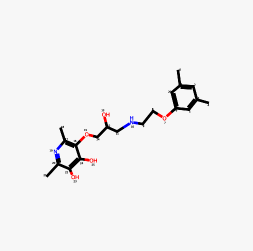 Cc1cc(C)cc(OCCNCC(O)COc2c(C)nc(C)c(O)c2O)c1